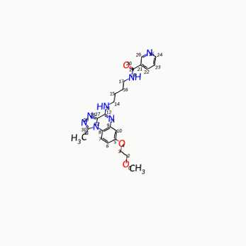 COCCOc1ccc2c(c1)nc(NCCCCNC(=O)c1cccnc1)c1nnc(C)n12